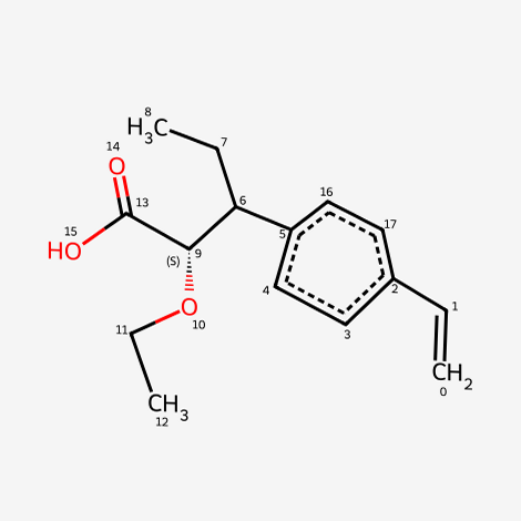 C=Cc1ccc(C(CC)[C@H](OCC)C(=O)O)cc1